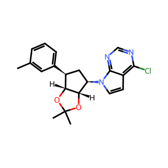 Cc1cccc([C@H]2C[C@@H](n3ccc4c(Cl)ncnc43)[C@@H]3OC(C)(C)O[C@@H]32)c1